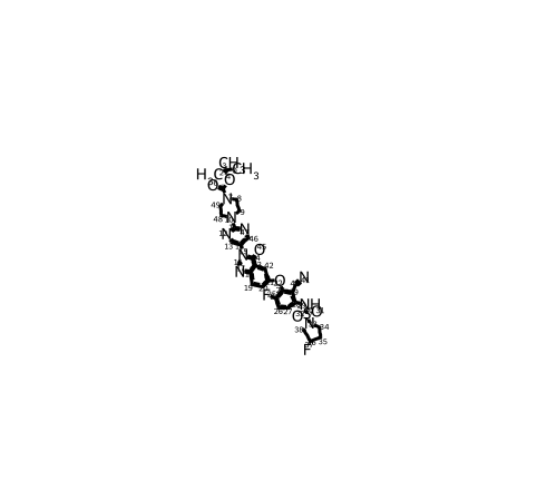 CC(C)(C)OC(=O)N1CCN(c2ncc(-n3cnc4ccc(Oc5c(F)ccc(NS(=O)(=O)N6CC[C@@H](F)C6)c5C#N)cc4c3=O)cn2)CC1